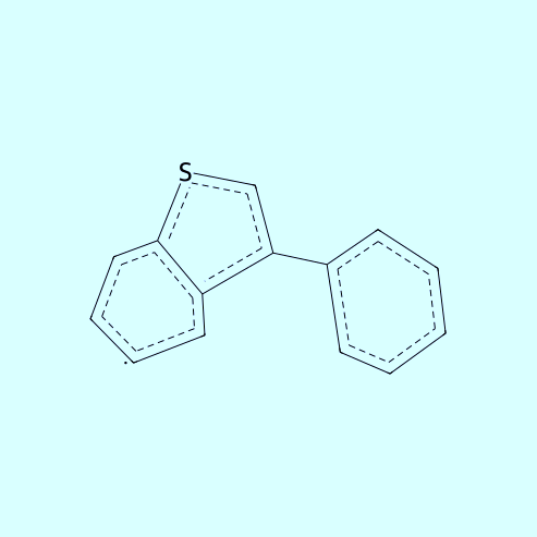 [c]1ccc2scc(-c3ccccc3)c2c1